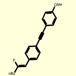 CCCCC(F)=Cc1ccc(C#Cc2ccc(OC)cc2)cc1